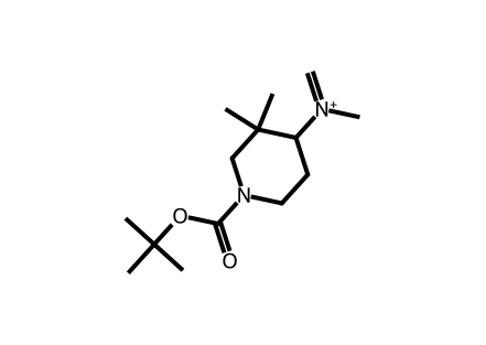 C=[N+](C)C1CCN(C(=O)OC(C)(C)C)CC1(C)C